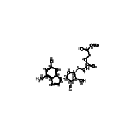 COC(=O)CO[PH](=O)OC[C@H]1O[C@@H](n2cnc3c(N)nc(Cl)nc32)[C@@H](F)[C@@H]1O